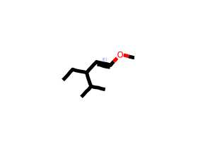 CCC(/C=C/OC)C(C)C